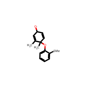 CSc1ccccc1OC1(C)C=CC([O])C=C1C